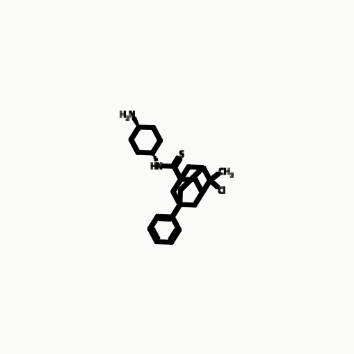 CC1(Cl)C2CC3(C(=S)N[C@H]4CC[C@H](N)CC4)CC1CC(c1ccccc1)(C2)C3